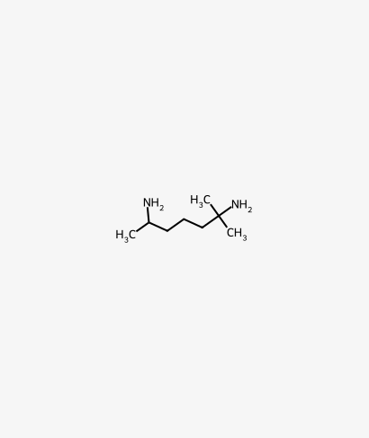 CC(N)CCCC(C)(C)N